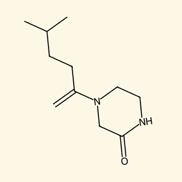 C=C(CCC(C)C)N1CCNC(=O)C1